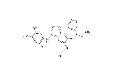 CCC(Oc1cc2ncnc(Nc3cc(O)c(C)cc3F)c2cc1OC)c1ccncc1.Cl